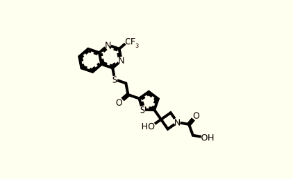 O=C(CSc1nc(C(F)(F)F)nc2ccccc12)c1ccc(C2(O)CN(C(=O)CO)C2)s1